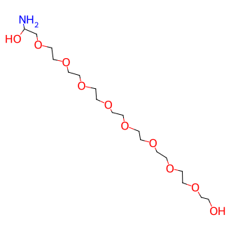 NC(O)COCCOCCOCCOCCOCCOCCOCCOCCO